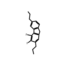 CCCc1ccc2c(c1)-c1c(cc(CCC)c(F)c1F)C2